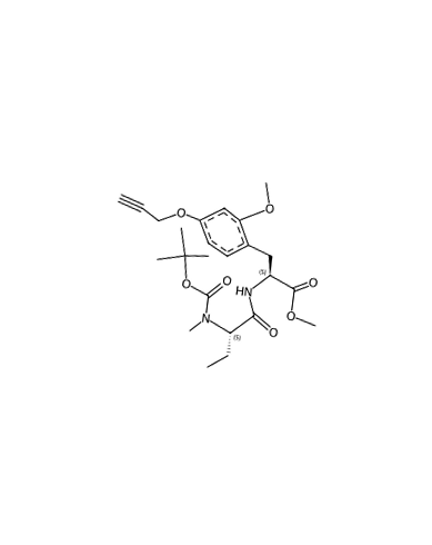 C#CCOc1ccc(C[C@H](NC(=O)[C@H](CC)N(C)C(=O)OC(C)(C)C)C(=O)OC)c(OC)c1